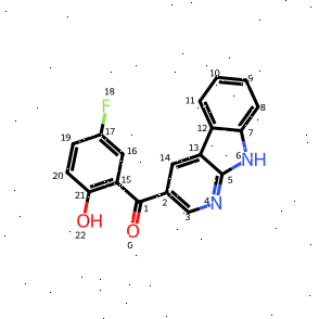 O=C(c1cnc2[nH]c3ccccc3c2c1)c1cc(F)ccc1O